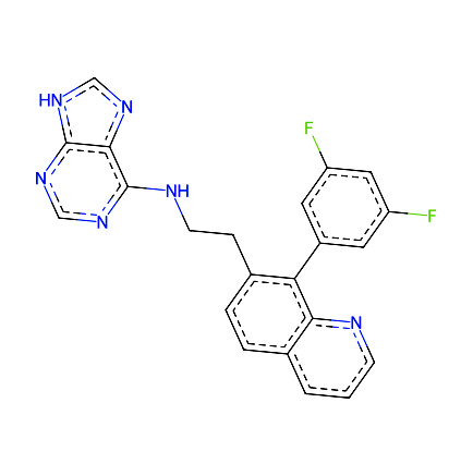 Fc1cc(F)cc(-c2c(CCNc3ncnc4[nH]cnc34)ccc3cccnc23)c1